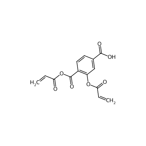 C=CC(=O)OC(=O)c1ccc(C(=O)O)cc1OC(=O)C=C